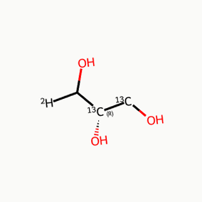 [2H]C(O)[13C@@H](O)[13CH2]O